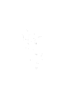 O=C(N[C@@H]1CC2CCC1NC2)c1ccc(Br)o1